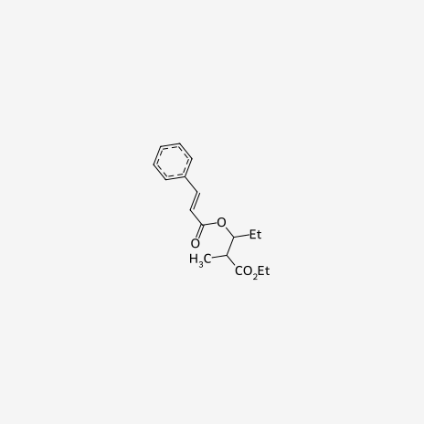 CCOC(=O)C(C)C(CC)OC(=O)C=Cc1ccccc1